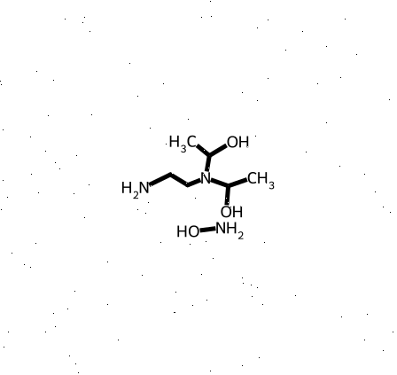 CC(O)N(CCN)C(C)O.NO